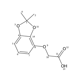 CC1(C)Oc2cccc(OCC(=O)O)c2O1